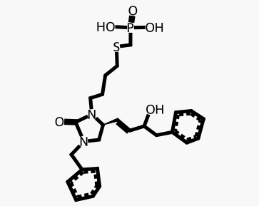 O=C1N(Cc2ccccc2)C[C@H](C=CC(O)Cc2ccccc2)N1CCCCSCP(=O)(O)O